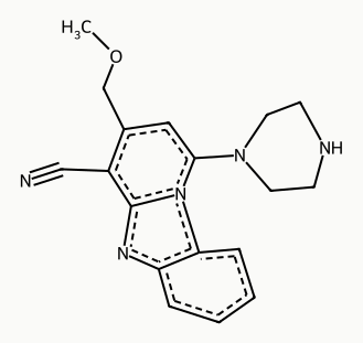 COCc1cc(N2CCNCC2)n2c(nc3ccccc32)c1C#N